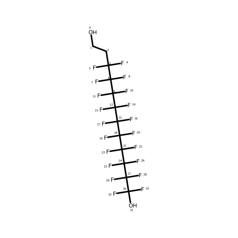 OCCC(F)(F)C(F)(F)C(F)(F)C(F)(F)C(F)(F)C(F)(F)C(F)(F)C(F)(F)C(F)(F)C(O)(F)F